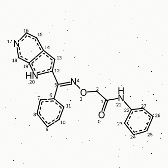 O=C(CON=C(c1ccccc1)c1cc2ccncc2[nH]1)Nc1ccccc1